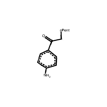 [CH2]CCCC[CH]C(=O)c1ccc(N)cc1